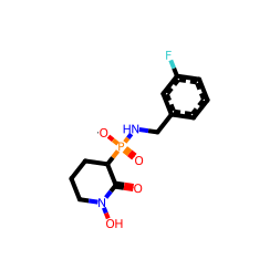 [O]P(=O)(NCc1cccc(F)c1)C1CCCN(O)C1=O